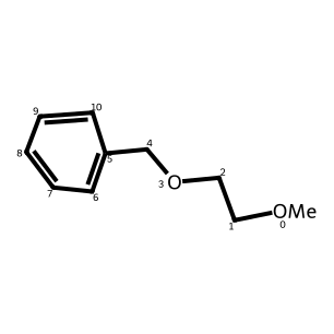 [CH2]OCCOCc1ccccc1